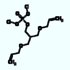 C=CCOCC(COCC=C)COP(=O)(OCl)OCl